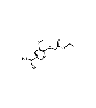 CCOC(=O)COc1ccc(C(=N)N)cc1OC